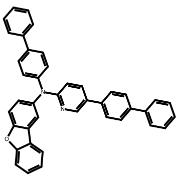 c1ccc(-c2ccc(-c3ccc(N(c4ccc(-c5ccccc5)cc4)c4ccc5oc6ccccc6c5c4)nc3)cc2)cc1